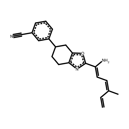 C=C/C(C)=C\C=C(/N)c1nc2c(o1)CC(c1cccc(C#N)c1)CC2